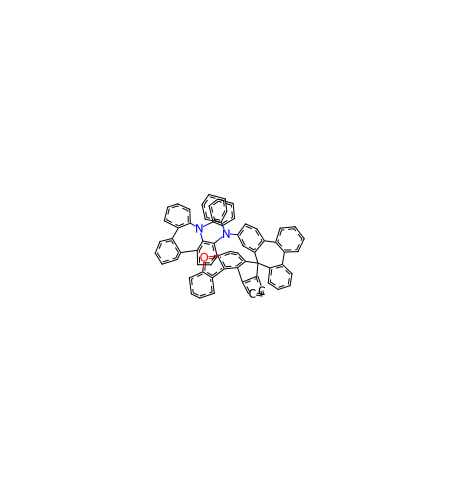 c1ccc(N(c2ccc3c(c2)C2(c4ccccc4-c4ccccc4-3)c3ccccc3-c3c2ccc2oc4ccccc4c32)c2cccc3c2N(c2ccccc2)c2ccccc2-c2ccccc2-3)cc1